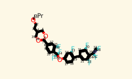 CCCOCCC1COC(c2ccc(C(F)(F)Oc3ccc(-c4cc(F)c(/C(F)=C/F)c(F)c4)c(F)c3)c(F)c2)OC1